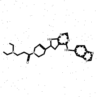 CCN(CC)CCC(=O)N1CC=C(C2Cc3c(Nc4ccc5ncsc5c4)ncnc3N2)CC1